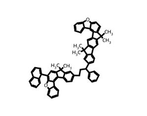 CC1(C)c2cc(C(CCc3ccc4c(c3)C(C)(C)c3cc(-c5cccc6ccccc56)c5oc6ccccc6c5c3-4)c3ccccc3)ccc2-c2cc3c(cc21)-c1c(ccc2oc4ccccc4c12)C3(C)C